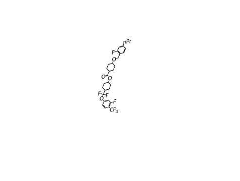 CCCc1ccc(COC2CCC(C(=O)OC3CCC(C(F)(F)Oc4ccc(C(F)(F)F)c(F)c4)CC3)CC2)c(F)c1